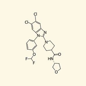 O=C(N[C@@H]1CCOC1)C1CCN(c2nc3cc(Cl)c(Cl)cc3n2-c2cccc(OC(F)F)c2)CC1